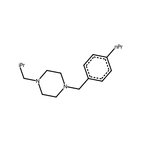 CCCc1ccc(CN2CCN(CC(C)C)CC2)cc1